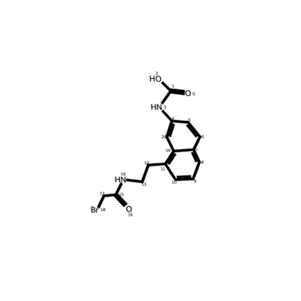 O=C(O)Nc1ccc2cccc(CCNC(=O)CBr)c2c1